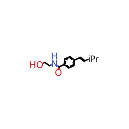 CC(C)/C=C/c1ccc(C(=O)NCCO)cc1